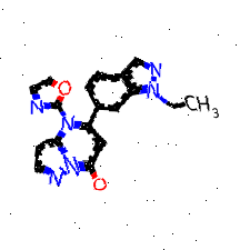 CCn1ncc2ccc(-c3cc(=O)n4nccc4n3-c3ncco3)cc21